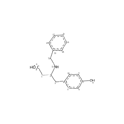 O=C(O)C[C@@H](Cc1ccc(O)cc1)NCc1ccccc1